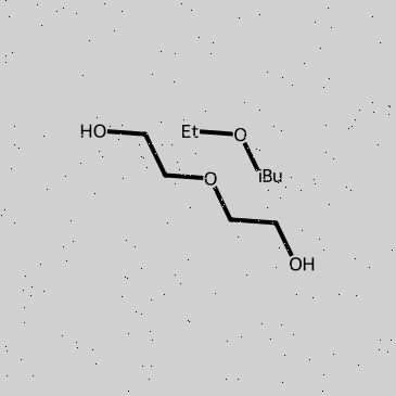 CCOC(C)CC.OCCOCCO